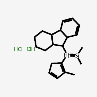 CC1=[C]([Hf]([CH]2C3C=CC=CC3C3CCCCC32)=[Si](C)C)CC=C1.Cl.Cl